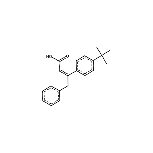 CC(C)(C)c1ccc(/C(=C\C(=O)O)Cc2ccccc2)cc1